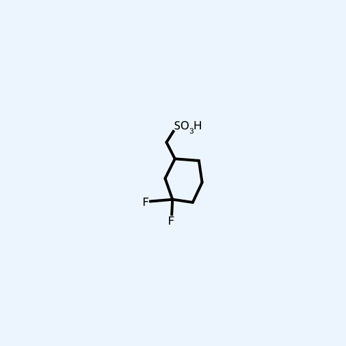 O=S(=O)(O)CC1CCCC(F)(F)C1